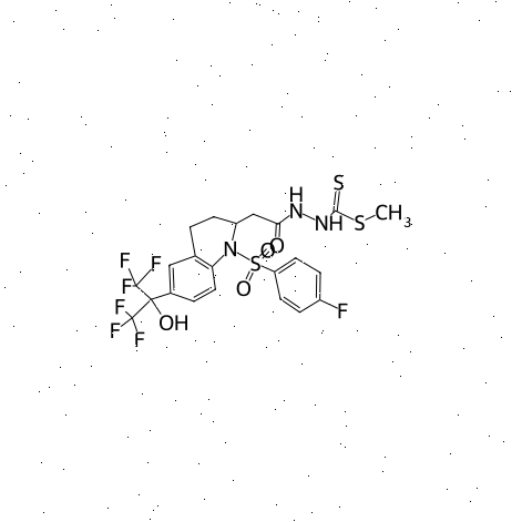 CSC(=S)NNC(=O)CC1CCc2cc(C(O)(C(F)(F)F)C(F)(F)F)ccc2N1S(=O)(=O)c1ccc(F)cc1